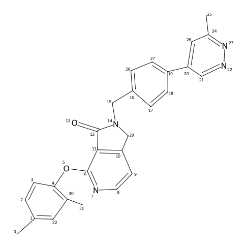 Cc1ccc(Oc2nccc3c2C(=O)N(Cc2ccc(-c4cnnc(C)c4)cc2)C3)c(C)c1